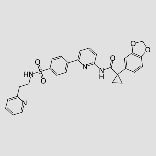 O=C(Nc1cccc(-c2ccc(S(=O)(=O)NCCc3ccccn3)cc2)n1)C1(c2ccc3c(c2)OCO3)CC1